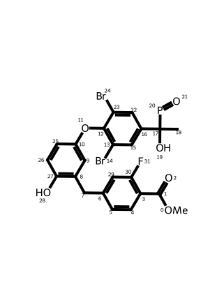 COC(=O)c1ccc(Cc2cc(Oc3c(Br)cc(C(C)(O)P=O)cc3Br)ccc2O)cc1F